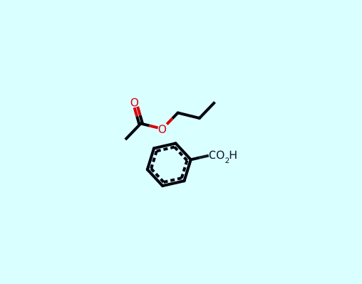 CCCOC(C)=O.O=C(O)c1ccccc1